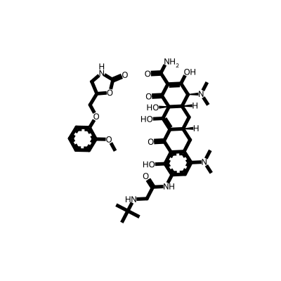 CN(C)c1cc(NC(=O)CNC(C)(C)C)c(O)c2c1C[C@H]1C[C@H]3[C@H](N(C)C)C(O)=C(C(N)=O)C(=O)[C@@]3(O)C(O)=C1C2=O.COc1ccccc1OCC1CNC(=O)O1